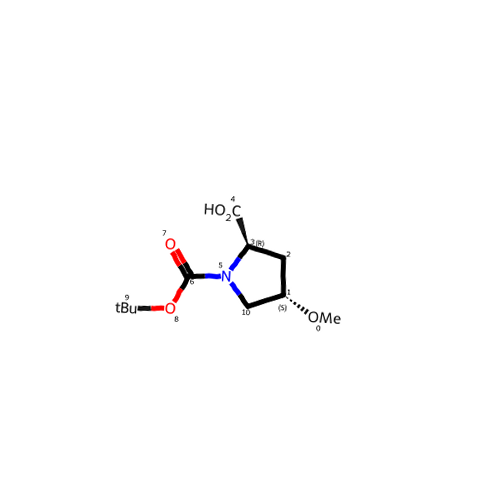 CO[C@H]1C[C@H](C(=O)O)N(C(=O)OC(C)(C)C)C1